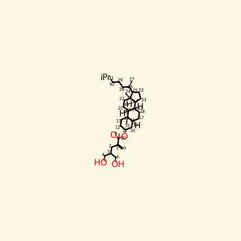 C=C(CC(CO)CO)C(=O)O[C@H]1CC[C@@]2(C)[C@@H](CC[C@@H]3[C@@H]2CC[C@]2(C)C([C@H](C)CCCC(C)C)CC[C@@H]32)C1